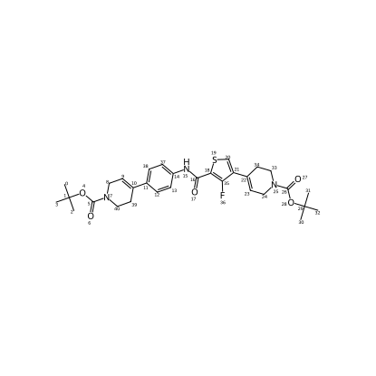 CC(C)(C)OC(=O)N1CC=C(c2ccc(NC(=O)c3scc(C4=CCN(C(=O)OC(C)(C)C)CC4)c3F)cc2)CC1